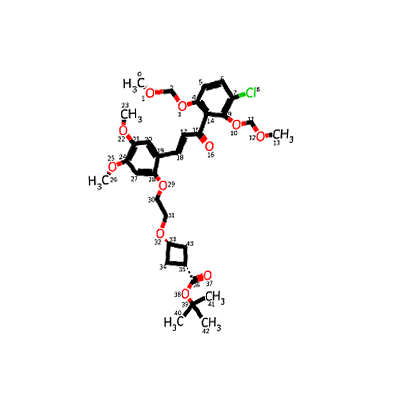 COCOc1ccc(Cl)c(OCOC)c1C(=O)/C=C/c1cc(OC)c(OC)cc1OCCO[C@H]1C[C@@H](C(=O)OC(C)(C)C)C1